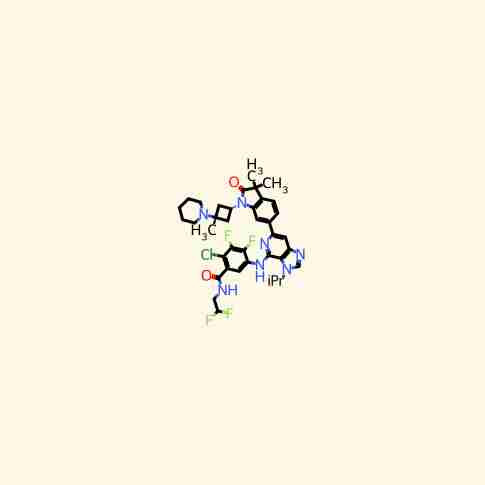 CC(C)n1cnc2cc(-c3ccc4c(c3)N([C@H]3C[C@@](C)(N5CCCCC5)C3)C(=O)C4(C)C)nc(Nc3cc(C(=O)NCC(F)F)c(Cl)c(F)c3F)c21